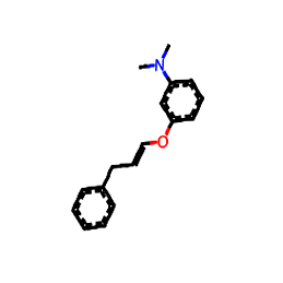 CN(C)c1cccc(OC=CCc2ccccc2)c1